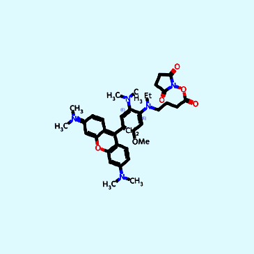 C=C(/C=C(\C(=C/COC)N(CC)CCCC(=O)ON1C(=O)CCC1=O)N(C)C)c1c2ccc(=[N+](C)C)cc-2oc2cc(N(C)C)ccc12